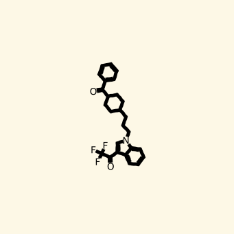 O=C(c1ccccc1)C1CCC(CCCn2cc(C(=O)C(F)(F)F)c3ccccc32)CC1